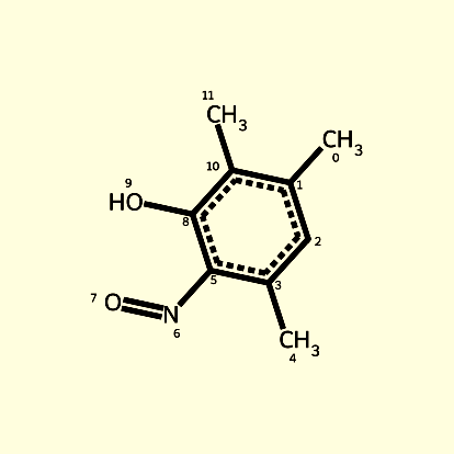 Cc1cc(C)c(N=O)c(O)c1C